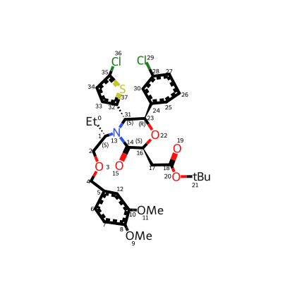 CC[C@@H](COCc1ccc(OC)c(OC)c1)N1C(=O)[C@H](CC(=O)OC(C)(C)C)O[C@H](c2cccc(Cl)c2)[C@H]1c1ccc(Cl)s1